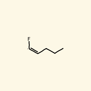 CCC/C=[C]\F